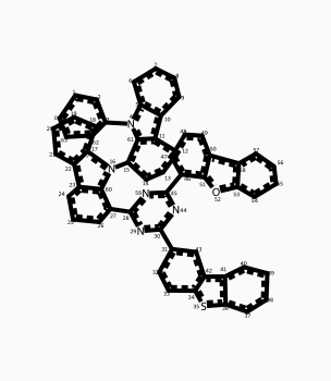 c1ccc(-n2c3ccccc3c3cccc(-n4c5ccccc5c5cccc(-c6nc(-c7ccc8sc9ccccc9c8c7)nc(-c7cccc8c7oc7ccccc78)n6)c54)c32)cc1